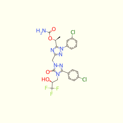 C[C@H](OC(N)=O)c1nc(Cn2nc(-c3ccc(Cl)cc3)n(C[C@H](O)C(F)(F)F)c2=O)nn1-c1cccc(Cl)c1